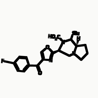 CC(C)(C)C1[C@H]2CCCN2C[C@@H](c2nc(C(=O)c3ccc(F)cc3)co2)N1C(=O)O